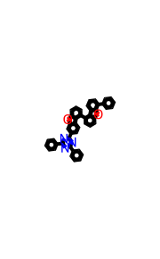 c1ccc(-c2nc(-c3ccccc3)nc(-c3ccc4c(c3)oc3cccc(-c5cccc6oc7c(-c8ccccc8)cccc7c56)c34)n2)cc1